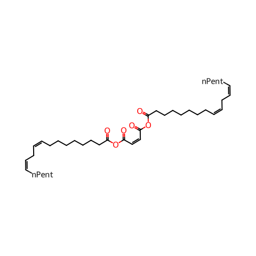 CCCCC/C=C\C/C=C\CCCCCCCC(=O)OC(=O)/C=C\C(=O)OC(=O)CCCCCCC/C=C\C/C=C\CCCCC